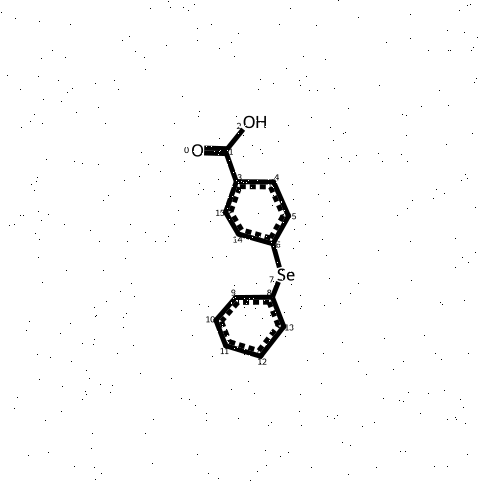 O=C(O)c1ccc([Se]c2ccccc2)cc1